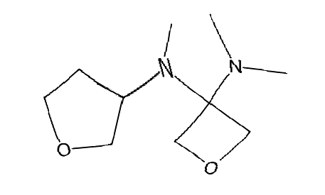 CN(C)C1(N(C)C2CCOC2)COC1